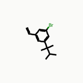 C=Cc1cc(Br)cc(C(C)(C)C(C)C)c1